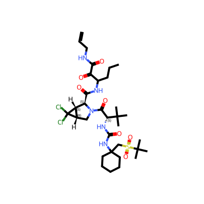 C=CCNC(=O)C(=O)C(CCC)NC(=O)[C@@H]1[C@@H]2[C@H](CN1C(=O)[C@@H](NC(=O)NC1(CS(=O)(=O)C(C)(C)C)CCCCC1)C(C)(C)C)C2(Cl)Cl